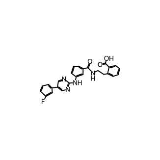 O=C(NCCc1ccccc1C(=O)O)c1cccc(Nc2ncc(-c3cccc(F)c3)cn2)c1